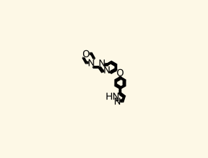 c1cc(-c2ccc(Oc3ccc4nc(CN5CCOCC5)cn4c3)cc2)[nH]n1